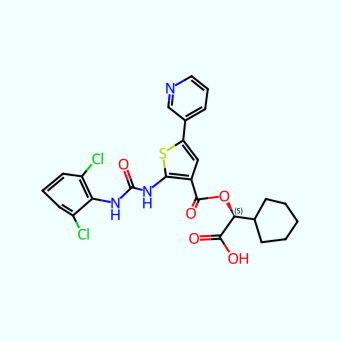 O=C(Nc1sc(-c2cccnc2)cc1C(=O)O[C@H](C(=O)O)C1CCCCC1)Nc1c(Cl)cccc1Cl